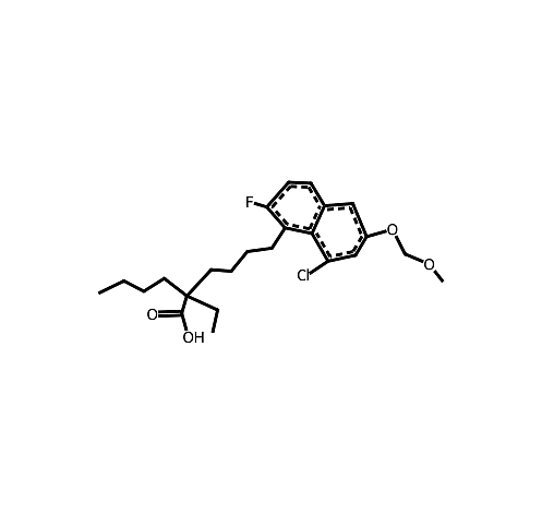 CCCCC(CC)(CCCCc1c(F)ccc2cc(OCOC)cc(Cl)c12)C(=O)O